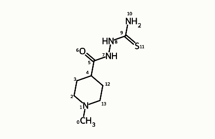 CN1CCC(C(=O)NNC(N)=S)CC1